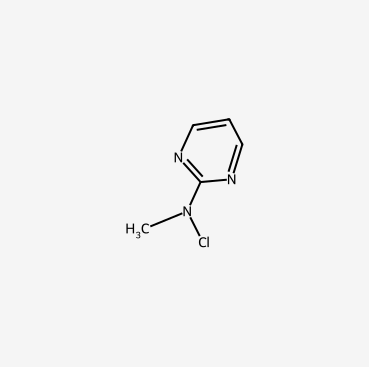 CN(Cl)c1ncccn1